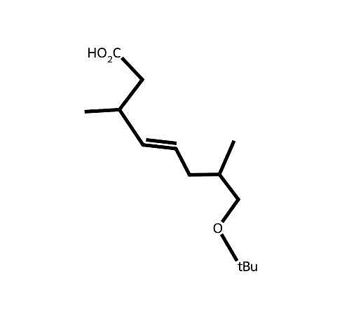 CC(C=CCC(C)COC(C)(C)C)CC(=O)O